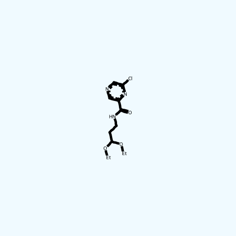 CCOC(CCNC(=O)c1cncc(Cl)n1)OCC